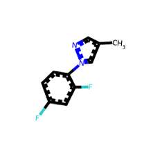 Cc1cnn(-c2ccc(F)cc2F)c1